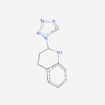 [c]1nnnn1C1CCc2ccccc2N1